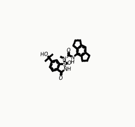 C[N+](C(=O)Nc1c2c(cc3c1CCC3)CCC2)=S1(=O)NC(=O)c2ccc(C(C)(C)O)cc21